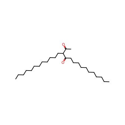 CCCCCCCCCCCCC(C(C)=O)C(=O)CCCCCCCCCCC